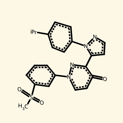 CC(C)c1ccc(-n2nccc2-c2nn(-c3cccc(S(C)(=O)=O)c3)ccc2=O)cc1